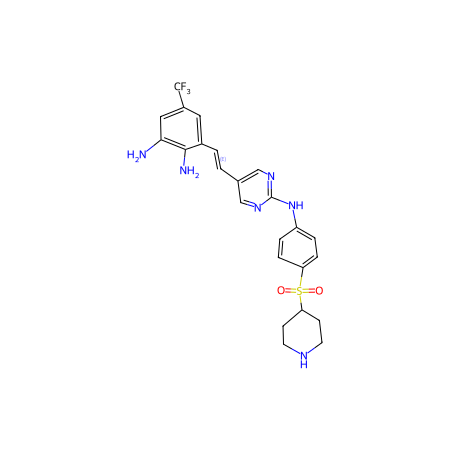 Nc1cc(C(F)(F)F)cc(/C=C/c2cnc(Nc3ccc(S(=O)(=O)C4CCNCC4)cc3)nc2)c1N